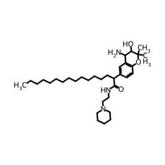 CCCCCCCCCCCCCCC(C(=O)NCCN1CCCCC1)c1ccc2c(c1)C(N)C(O)C(C)(C)O2